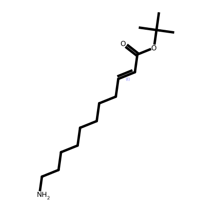 CC(C)(C)OC(=O)/C=C/CCCCCCCCN